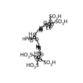 CCCNC(=O)c1cc(OCCCCc2cn(CCCNC(=O)c3cc(OCC)c(OCCCS(=O)(=O)O)c(OCCCS(=O)(=O)O)c3)nn2)cc(OCCCCc2cn(CCCNC(=O)c3cc(OCCCS(=O)(=O)O)c(OCCCS(=O)(=O)O)c(OCCCS(=O)(=O)O)c3)nn2)c1